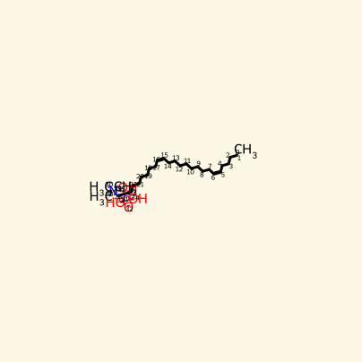 CCCCC/C=C\CCCCCCCC/C=C\CCCCCCCC(O)(C[N+](C)(C)C)P(=O)(O)O